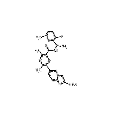 CC(=O)Nc1cn2nc(-c3cc(C(=O)N[C@H](C)c4cc(C(F)(F)F)ccc4F)c(C)nc3C)ccc2n1